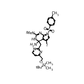 CNC1=Nc2c(c(I)cn2S(=O)(=O)c2ccc(C)cc2)C(N)(Cc2nccc(CO[Si](C)(C)C(C)(C)C)n2)N1